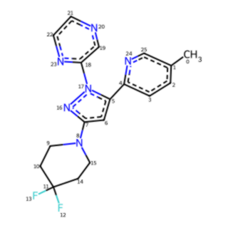 Cc1ccc(-c2cc(N3CCC(F)(F)CC3)nn2-c2cnccn2)nc1